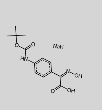 CC(C)(C)OC(=O)Nc1ccc(/C(=N/O)C(=O)O)cc1.[NaH]